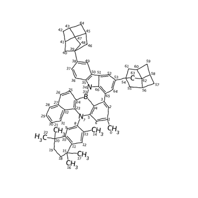 Cc1cc2c3c(c1)N(c1cc4c(cc1C)C(C)(C)CCC4(C)C)c1c(ccc4ccccc14)B3n1c3ccc(C45CC6CC7CC(C4)C76C5)cc3c3cc(C45CC6CC7CC(C4)C76C5)cc-2c31